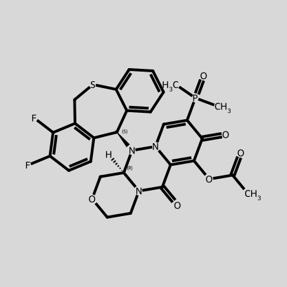 CC(=O)Oc1c2n(cc(P(C)(C)=O)c1=O)N([C@@H]1c3ccccc3SCc3c1ccc(F)c3F)[C@@H]1COCCN1C2=O